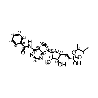 CCC(C)OP(=O)(O)C=CC1OC(n2nnc3c(NC(=O)c4ccccc4)ncnc32)C(O)C1O